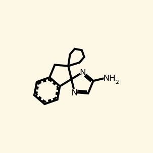 NC1=NC2(N=C1)c1ccccc1CC21CCCCC1